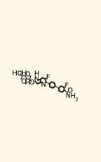 NC(=O)c1ccc(-c2ccc(-c3nc4cc(O[C@@H]5CO[C@H]6[C@@H]5OC[C@H]6O)[nH]c4cc3F)cc2)cc1F